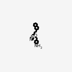 Nc1ccc(CCOC(CCc2ccc3ccccc3c2)Cn2ccnc2)cc1